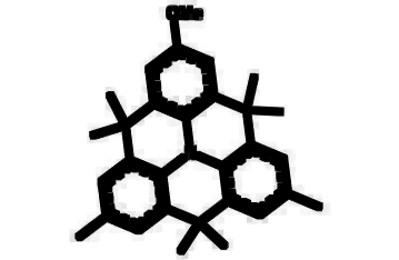 COc1cc2c3c(c1)C(C)(C)c1cc(C)cc4c1N3c1c(cc(C)cc1C2(C)C)C4(C)C